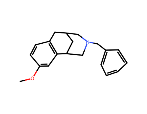 COc1ccc2c(c1)C1CC(C2)CN(Cc2ccccc2)C1